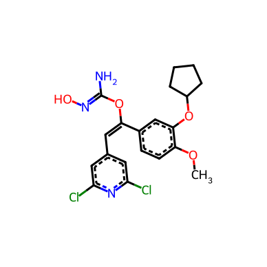 COc1ccc(/C(=C\c2cc(Cl)nc(Cl)c2)OC(N)=NO)cc1OC1CCCC1